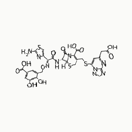 Nc1nc(C(=NOCc2cc(C(=O)O)cc(O)c2O)C(=O)N[C@@H]2C(=O)N3C(C(=O)O)=C(CSc4cc(CC(=O)O)nc5ncnn45)CS[C@H]23)cs1